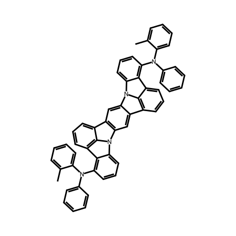 Cc1ccccc1N(c1ccccc1)c1cccc2c1c1cccc3c4cc5c(cc4n2c31)c1cccc2c3c(N(c4ccccc4)c4ccccc4C)cccc3n5c12